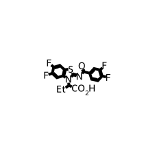 CCC(C(=O)O)n1/c(=N/C(=O)c2ccc(F)c(F)c2)sc2cc(F)c(F)cc21